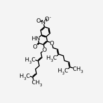 CC(C)=CCC/C(C)=C/COc1c(OC/C=C(\C)CCC=C(C)C)c2ccc([N+](=O)[O-])cc2[nH]c1=O